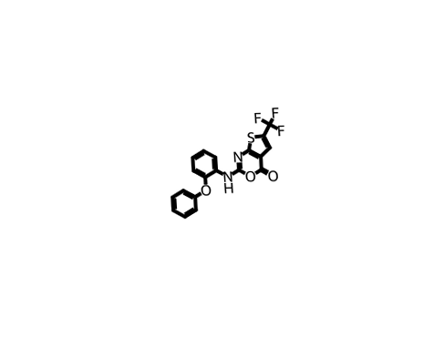 O=c1oc(Nc2ccccc2Oc2ccccc2)nc2sc(C(F)(F)F)cc12